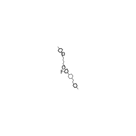 Cc1ccc(CCC2CCC(c3ccc(OCCCCCCOc4ccc(C)cc4)c(F)c3)CC2)cc1